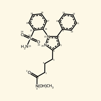 CN(O)C(=O)CCCc1cc(-c2ccccc2)n(-c2ccccc2S(N)(=O)=O)n1